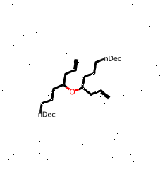 C=CCC(CCCCCCCCCCCCC)OC(CC=C)CCCCCCCCCCCCC